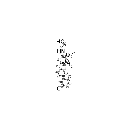 CCOC(=O)C(CNCCO)C[C@H](N)Cc1ccc(-c2cc(Cl)ccc2F)cc1